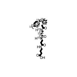 [13CH3][15N]1CCN([13CH2][13CH]2[13CH2][13CH2][13CH2]N2CC(=O)[15NH][13CH2][13CH2][13C](=O)[15NH]CCC(=O)NCCCC(=O)O)[13CH2][13CH2]1